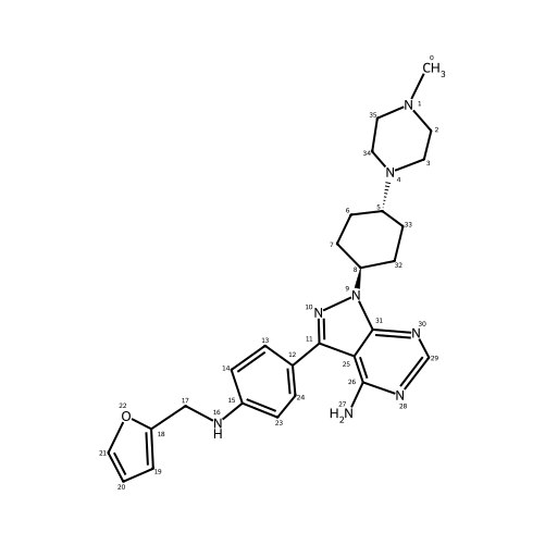 CN1CCN([C@H]2CC[C@H](n3nc(-c4ccc(NCc5ccco5)cc4)c4c(N)ncnc43)CC2)CC1